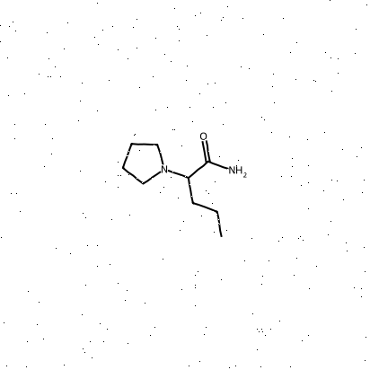 CCCC(C(N)=O)N1CCCC1